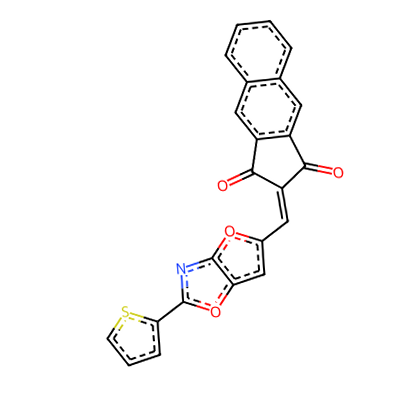 O=C1C(=Cc2cc3oc(-c4cccs4)nc3o2)C(=O)c2cc3ccccc3cc21